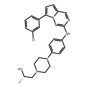 C[C@H](O)CN1CCN(c2ccc(Nc3ncc4ccc(-c5cccc(Cl)c5)n4n3)cc2)CC1